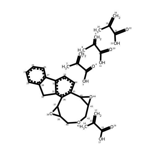 C=C(C)C(=O)O.C=C(C)C(=O)O.C=C(C)C(=O)O.C=C(C)C(=O)O.c1ccc2c(c1)Cc1c-2ccc2c1C1OC1COCC1OC21